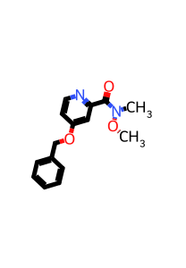 CON(C)C(=O)c1cc(OCc2ccccc2)ccn1